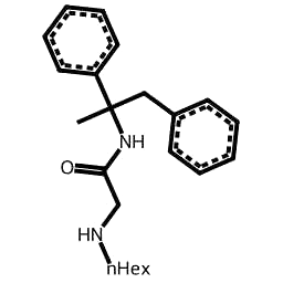 CCCCCCNCC(=O)NC(C)(Cc1ccccc1)c1ccccc1